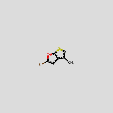 Cc1csc2oc(Br)cc12